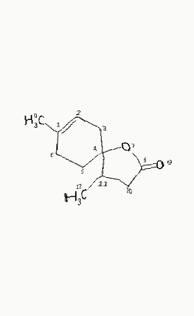 CC1=CCC2(CC1)OC(=O)CC2C